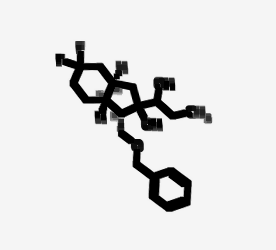 CCC(O)C1(O)C[C@@H]2CC(F)(F)CC[C@H]2[C@H]1COCc1ccccc1